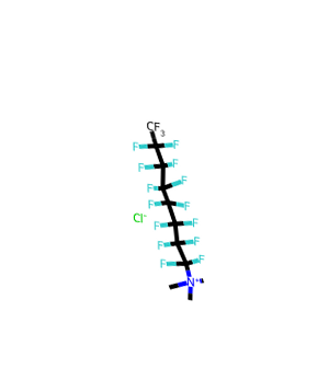 C[N+](C)(C)C(F)(F)C(F)(F)C(F)(F)C(F)(F)C(F)(F)C(F)(F)C(F)(F)C(F)(F)F.[Cl-]